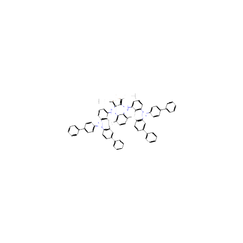 Cc1sc(C)c2c1N1c3cccc4c3B(c3cc(-c5ccccc5)ccc3N4c3ccc(-c4ccccc4)cc3)c3ccc4c(c31)N2c1cccc2c1B4c1ccc(-c3ccccc3)cc1N2c1ccc(-c2ccccc2)cc1